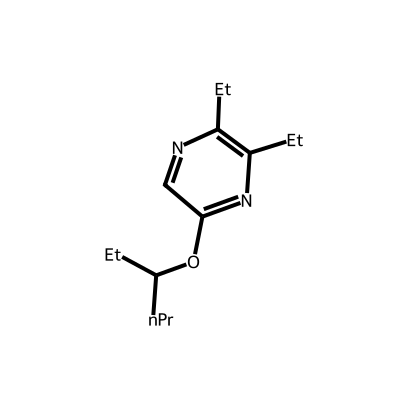 CCCC(CC)Oc1cnc(CC)c(CC)n1